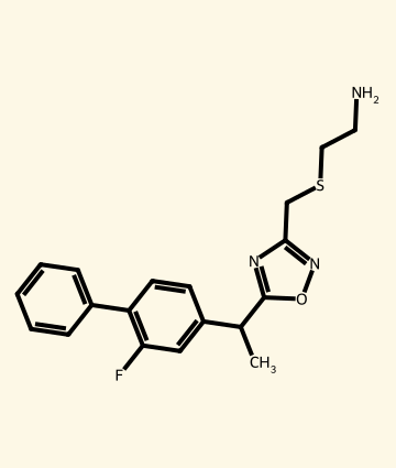 CC(c1ccc(-c2ccccc2)c(F)c1)c1nc(CSCCN)no1